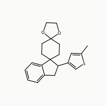 Cc1cc(C2Cc3ccccc3C23CCC2(CC3)OCCO2)cs1